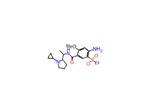 CCS(=O)(=O)c1cc(C(=O)NC(C)C2CCCN2C2CC2)c(OC)cc1N